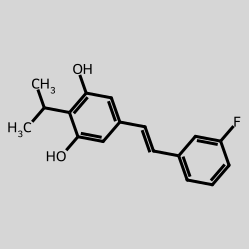 CC(C)c1c(O)cc(C=Cc2cccc(F)c2)cc1O